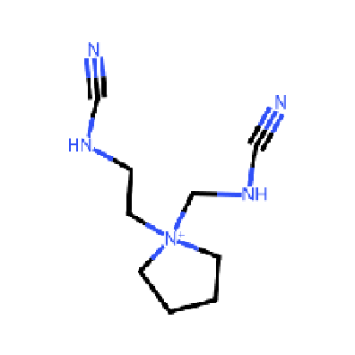 N#CNCC[N+]1(CNC#N)CCCC1